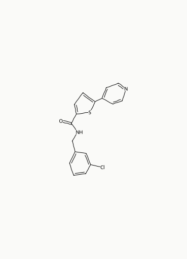 O=C(NCc1cccc(Cl)c1)c1ccc(-c2ccncc2)s1